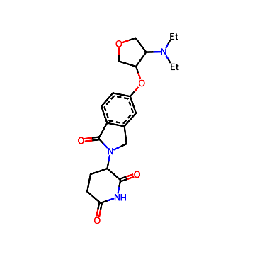 CCN(CC)C1COCC1Oc1ccc2c(c1)CN(C1CCC(=O)NC1=O)C2=O